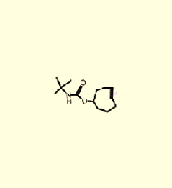 CC(C)(C)NC(=O)OC1CC/C=C/CCC1